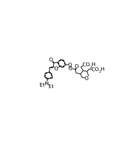 CCN(CC)c1ccc(/C=C2\Oc3cc(OOC(=O)CC4COCC(CC(=O)O)C4CC(=O)O)ccc3C2=O)cc1